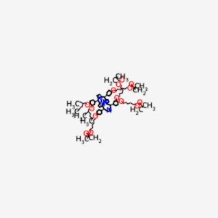 C=C(C)C(=O)OCCCCCCOc1ccc(-c2c3nc(c(-c4ccc(OCC(CC)CCCC)c(OCC(CC)CCCC)c4)c4ccc5c(-c6ccc(OCCCCCCOC(=O)C(=C)C)cc6)c6nc(c(-c7ccc(OCCCCCCOC(=O)C(=C)C)c(OCCCCCCOC(=O)C(=C)C)c7)c7ccc2n7n54)C=C6)C=C3)cc1